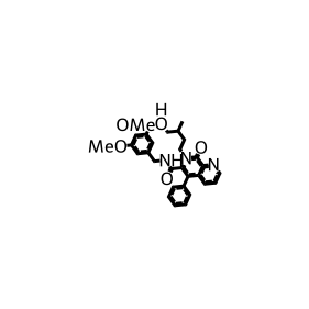 COc1cc(CNC(=O)c2c(-c3ccccc3)c3cccnc3c(=O)n2CCC(C)CO)cc(OC)c1